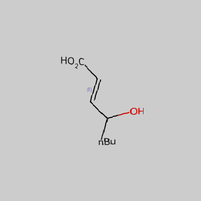 CCCCC(O)/C=C/C(=O)O